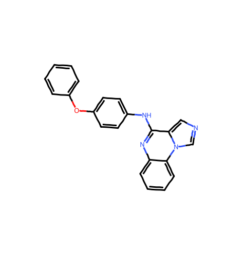 c1ccc(Oc2ccc(Nc3nc4ccccc4n4cncc34)cc2)cc1